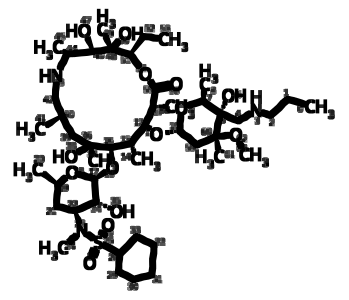 CCCNC[C@]1(O)[C@H](C)O[C@@H](O[C@H]2[C@H](C)[C@@H](O[C@@H]3O[C@H](C)C[C@H](N(C)S(=O)(=O)C4CCCCC4)[C@H]3O)[C@](C)(O)C[C@@H](C)CN[C@H](C)[C@@H](O)[C@](C)(O)[C@@H](CC)OC(=O)[C@@H]2C)C[C@@]1(C)OC